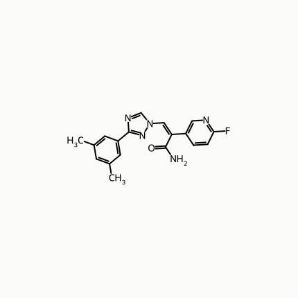 Cc1cc(C)cc(-c2ncn(C=C(C(N)=O)c3ccc(F)nc3)n2)c1